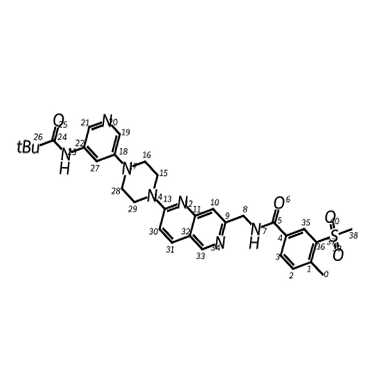 Cc1ccc(C(=O)NCc2cc3nc(N4CCN(c5cncc(NC(=O)C(C)(C)C)c5)CC4)ccc3cn2)cc1S(C)(=O)=O